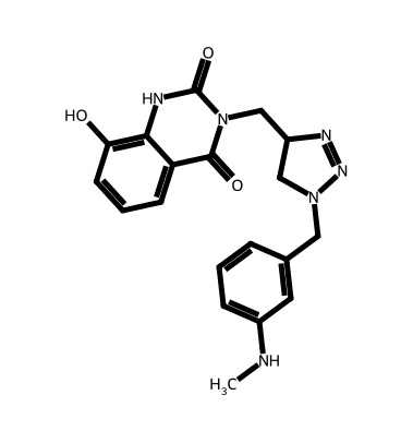 CNc1cccc(CN2CC(Cn3c(=O)[nH]c4c(O)cccc4c3=O)N=N2)c1